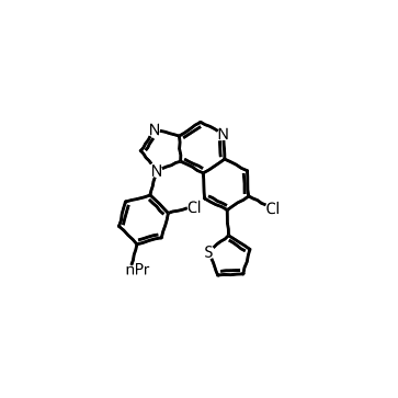 CCCc1ccc(-n2cnc3cnc4cc(Cl)c(-c5cccs5)cc4c32)c(Cl)c1